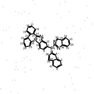 c1ccc2cc(P(c3ccc4c(c3)nc3c5ccccc5c5ccccc5n43)c3ncc4ccccc4n3)ccc2c1